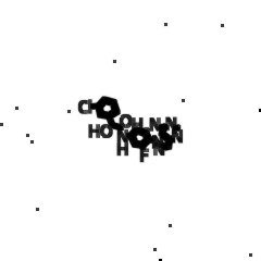 Nc1ncnc2cnn(-c3ccc(NC(=O)C(O)c4cccc(Cl)c4)cc3F)c12